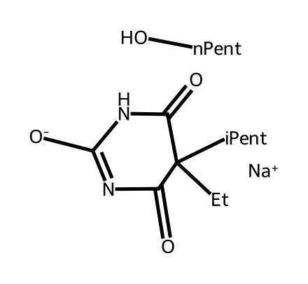 CCCC(C)C1(CC)C(=O)N=C([O-])NC1=O.CCCCCO.[Na+]